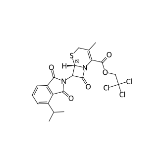 CC1=C(C(=O)OCC(Cl)(Cl)Cl)N2C(=O)C(N3C(=O)c4cccc(C(C)C)c4C3=O)[C@@H]2SC1